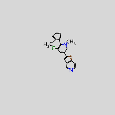 Cc1ccccc1-c1c(F)cc(-c2cc3cnccc3s2)c[n+]1C